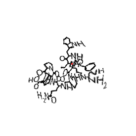 CCC(NC(CCCNC(=N)N)C(=O)N1CCCC1C(=O)NC(CCC(N)=O)C(=O)NC(C(=O)N1CCCC1C(=O)N1CCCC1C(=O)O)C(C)CC)C(=O)C(Cc1c[nH]c2ccccc12)NC(=O)OCc1ccccc1